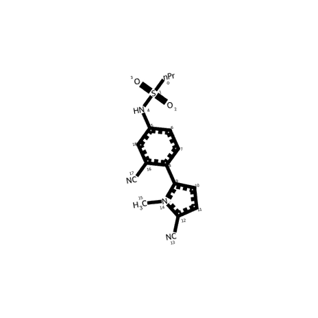 CCCS(=O)(=O)Nc1ccc(-c2ccc(C#N)n2C)c(C#N)c1